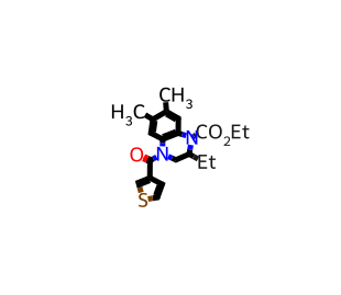 CCOC(=O)N1c2cc(C)c(C)cc2N(C(=O)c2ccsc2)CC1CC